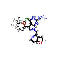 C[SiH](C)OC(C1CN(Cc2nccc3c2CCO3)c2nc(N)nc(Cl)c21)C(C)(C)C